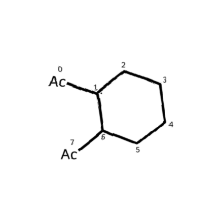 CC(=O)[C]1CCCCC1C(C)=O